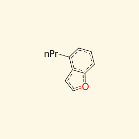 [CH2]CCc1cccc2occc12